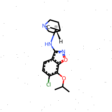 CC(C)Oc1c(Cl)ccc2c(N[C@@H]3CN4CCC3CC4)noc12